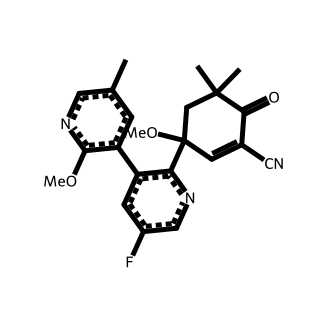 COc1ncc(C)cc1-c1cc(F)cnc1C1(OC)C=C(C#N)C(=O)C(C)(C)C1